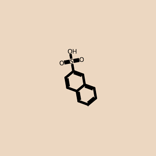 O=S(=O)(O)c1ccc2c[c]ccc2c1